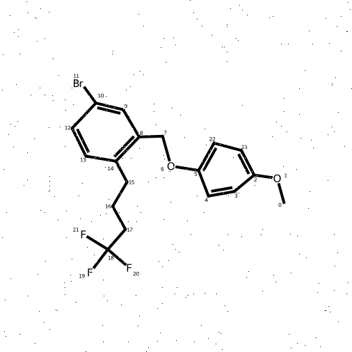 COc1ccc(OCc2cc(Br)ccc2CCCC(F)(F)F)cc1